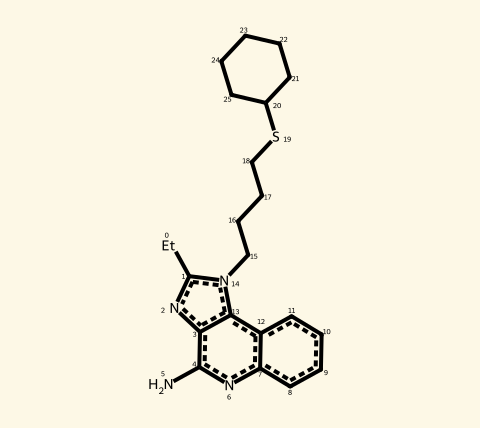 CCc1nc2c(N)nc3ccccc3c2n1CCCCSC1CCCCC1